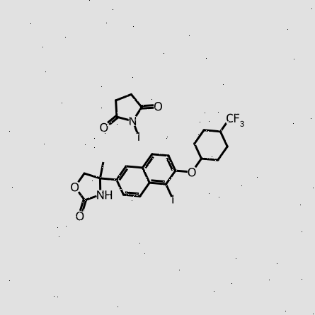 CC1(c2ccc3c(I)c(OC4CCC(C(F)(F)F)CC4)ccc3c2)COC(=O)N1.O=C1CCC(=O)N1I